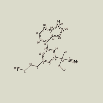 CCC(C)(C#N)c1cc(CCCF)cc(-c2ccnc3[nH]ncc23)c1